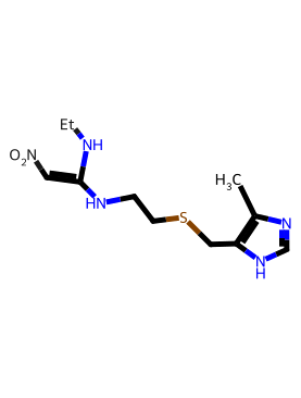 CCNC(=C[N+](=O)[O-])NCCSCc1[nH]cnc1C